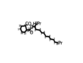 CC(C)CCCCCCCCCC(OC(=O)C1CCCCC1C(=O)O)C(C)C